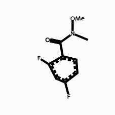 CON(C)C(=O)c1ccc(F)cc1F